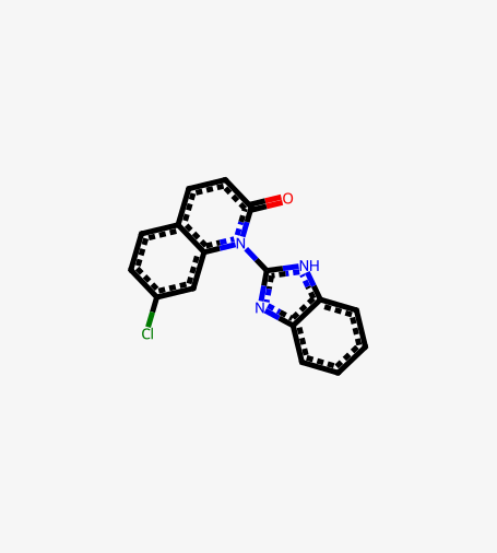 O=c1ccc2ccc(Cl)cc2n1-c1nc2ccccc2[nH]1